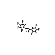 Fc1c(F)c(F)c(C2=CCC(c3c(F)c(F)c(F)c(F)c3F)=C2)c(F)c1F